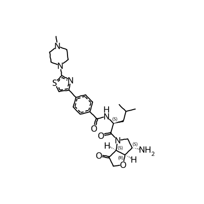 CC(C)C[C@H](NC(=O)c1ccc(-c2csc(N3CCN(C)CC3)n2)cc1)C(=O)N1C[C@H](N)[C@H]2OCC(=O)[C@H]21